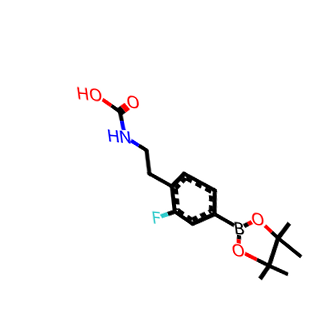 CC1(C)OB(c2ccc(CCNC(=O)O)c(F)c2)OC1(C)C